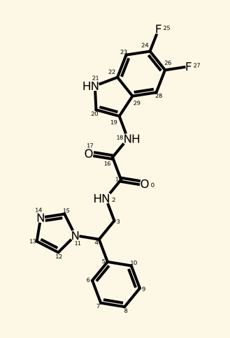 O=C(NCC(c1ccccc1)n1ccnc1)C(=O)Nc1c[nH]c2cc(F)c(F)cc12